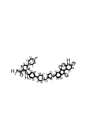 CN1CCN(c2cnc(C(N)=O)c(Nc3ccc(C4CCN(C[C@H]5CCN(c6ccc7c(c6)C(=O)C(C6CCC(=O)NC6=O)C7=O)C5)CC4)cc3)n2)CC1